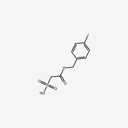 O=C(CS(=O)(=O)O)OCc1ccc(I)cc1